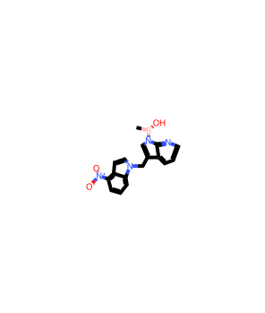 CB(O)n1cc(Cn2ccc3c([N+](=O)[O-])cccc32)c2cccnc21